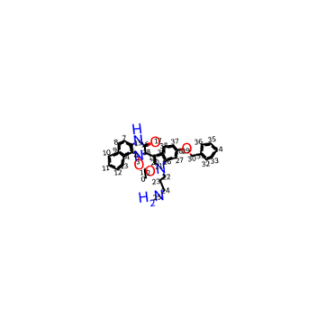 CC(=O)ON1c2c(ccc3ccccc23)NC(=O)C1c1cn(CCCN)c2cc(OCc3ccccc3)ccc12